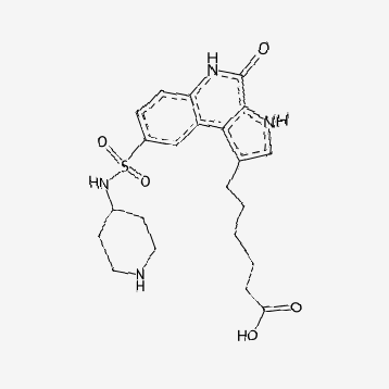 O=C(O)CCCCCc1c[nH]c2c(=O)[nH]c3ccc(S(=O)(=O)NC4CCNCC4)cc3c12